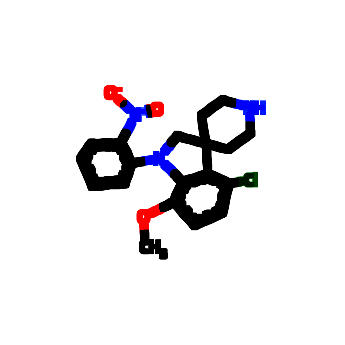 COc1ccc(Cl)c2c1N(c1ccccc1[N+](=O)[O-])CC21CCNCC1